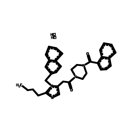 CCCCc1ncc(CC(=O)N2CCN(C(=O)c3cccc4ccccc34)CC2)n1Cc1ccc2ccccc2c1.Cl.Cl